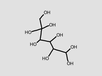 OCC(O)(O)C(O)C(O)C(O)C(O)O